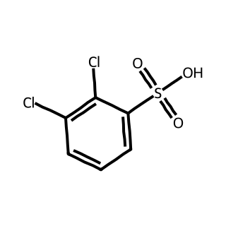 O=S(=O)(O)c1cccc(Cl)c1Cl